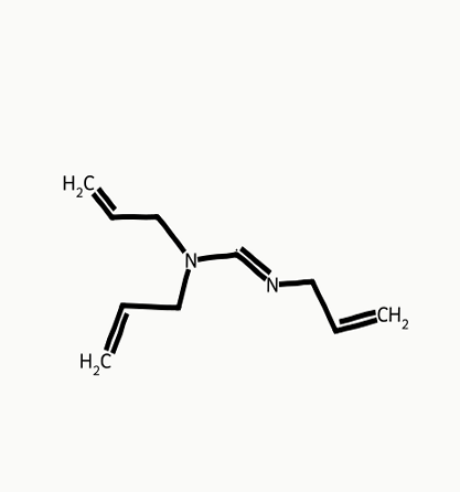 C=CC/N=[C]/N(CC=C)CC=C